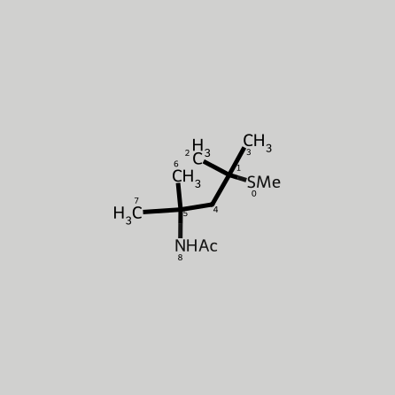 CSC(C)(C)CC(C)(C)NC(C)=O